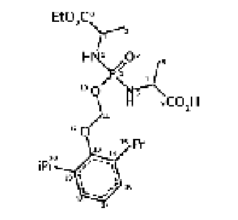 CCOC(=O)C(C)NP(=O)(NC(C)C(=O)O)OCOc1c(C(C)C)cccc1C(C)C